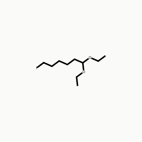 CCOC(CCCCCI)OCC